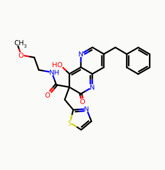 COCCNC(=O)C1(Cc2nccs2)C(=O)N=c2cc(Cc3ccccc3)cnc2=C1O